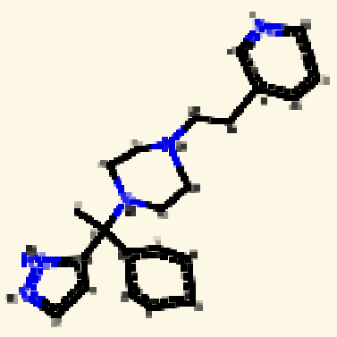 CC(c1ccccc1)(c1ccn[nH]1)N1CCN(CCc2cccnc2)CC1